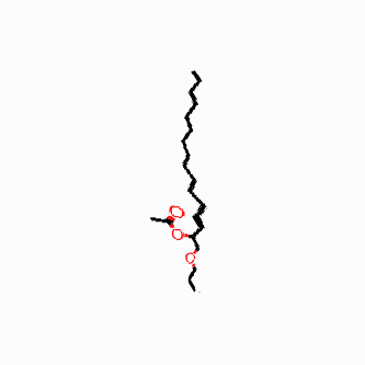 [CH2]CCOCC(C=CCCCCCCCCCCCC)OC(C)=O